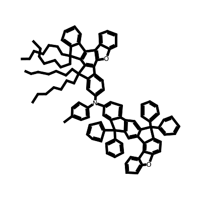 CCCCCCCC1(CCCCCCC)c2cc(N(c3ccc(C)cc3)c3ccc4c(c3)C(c3ccccc3)(c3ccccc3)c3cc5c(cc3-4)C(c3ccccc3)(c3ccccc3)c3ccc4oc6ccccc6c4c3-5)ccc2-c2c1c1c(c3c2oc2ccccc23)-c2ccccc2C1(CCCCCCC)CCCCCCC